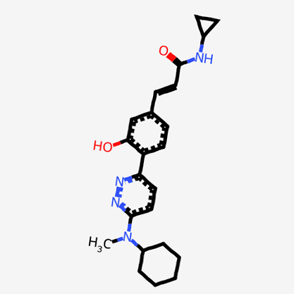 CN(c1ccc(-c2ccc(/C=C/C(=O)NC3CC3)cc2O)nn1)C1CCCCC1